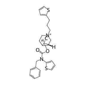 O=C(O[C@H]1C[N+]2(CCCc3cccs3)CCC1CC2)N(Cc1ccccc1)c1cccs1